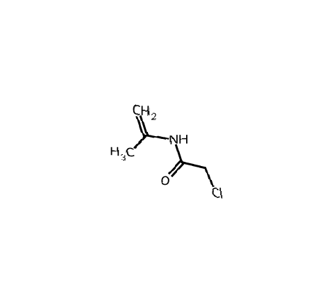 C=C(C)NC(=O)CCl